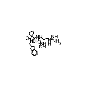 N=C(N)NCCC[C@H](NC(=O)C1(C(=O)NCC2Cc3ccccc3C2)CCCC1)OBO